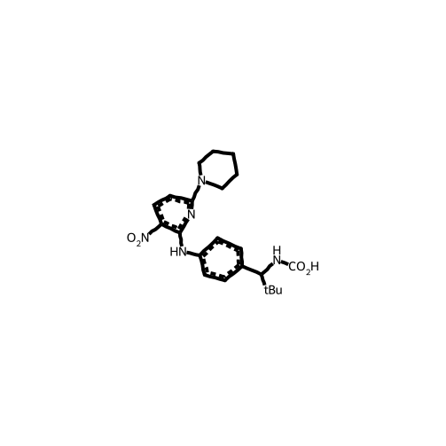 CC(C)(C)C(NC(=O)O)c1ccc(Nc2nc(N3CCCCC3)ccc2[N+](=O)[O-])cc1